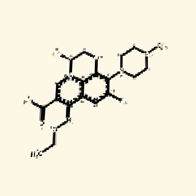 CCON=c1c(C(=O)O)cn2c3c(c(N4CCN(C)CC4)c(F)cc13)OC[C@@H]2C